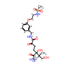 CC(C)(CO)C(O)(CCC(=O)C(=O)NCc1cccc(OCCNS(C)(=O)=O)c1)C(N)=O